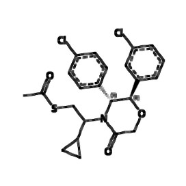 CC(=O)SCC(C1CC1)N1C(=O)CO[C@H](c2cccc(Cl)c2)[C@H]1c1ccc(Cl)cc1